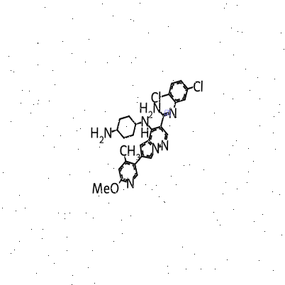 COc1cc(C)c(-c2cc3c(N[C@H]4CC[C@@H](N)CC4)c(/C(N)=N/c4cc(Cl)ccc4Cl)cnn3c2)cn1